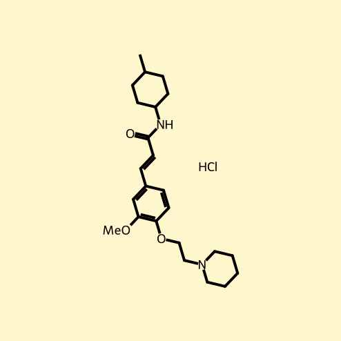 COc1cc(C=CC(=O)NC2CCC(C)CC2)ccc1OCCN1CCCCC1.Cl